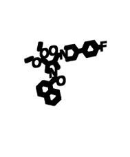 CCOC(OCC)C1CN(C(=O)c2cccc3ccccc23)CC1C(=O)N1CCC(c2ccc(F)cc2)CC1